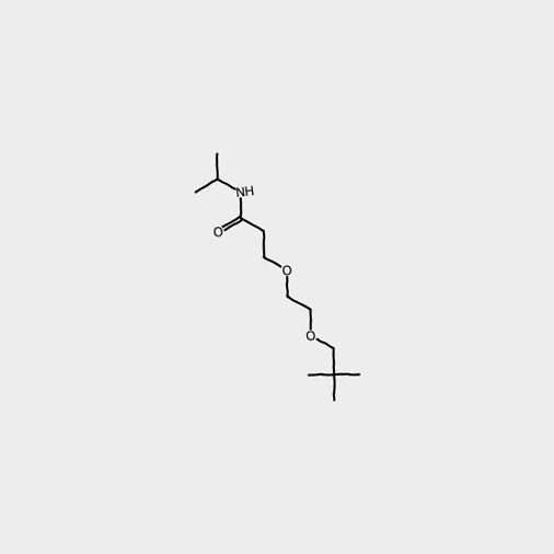 CC(C)NC(=O)CCOCCOCC(C)(C)C